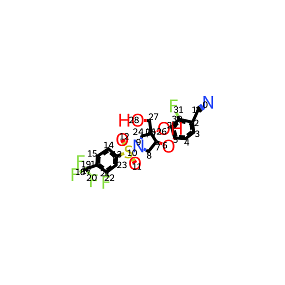 N#Cc1ccc(OC2CN(S(=O)(=O)c3ccc(C(F)(F)F)c(F)c3)C[C@@]2(O)CO)cc1F